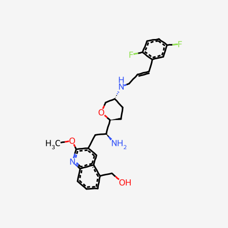 COc1nc2cccc(CO)c2cc1C[C@H](N)[C@@H]1CC[C@@H](NC/C=C/c2cc(F)ccc2F)CO1